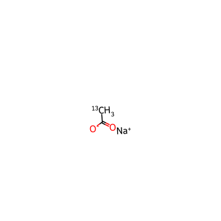 [13CH3]C(=O)[O-].[Na+]